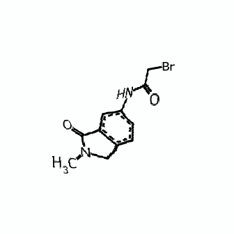 CN1Cc2ccc(NC(=O)CBr)cc2C1=O